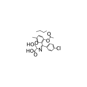 CC(=O)Oc1ccc(C)cc1/C(=N\C(C(=O)O)C(=O)O)c1ccc(Cl)cc1.CCCC